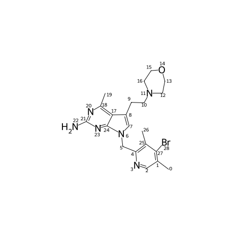 Cc1cnc(Cn2cc(CCN3CCOCC3)c3c(C)nc(N)nc32)c(C)c1Br